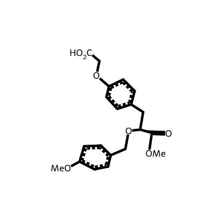 COC(=O)C(Cc1ccc(OCC(=O)O)cc1)OCc1ccc(OC)cc1